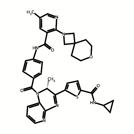 Cc1cnc(N2CC3(CCOCC3)C2)c(C(=O)Nc2ccc(C(=O)N3c4cccnc4N=C(c4ccc(C(=O)NC5CC5)s4)[C@H]3C)cc2)c1